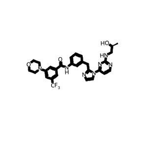 C[C@H](O)CNc1nccc(-n2ccnc2Cc2cccc(NC(=O)c3cc(N4CCOCC4)cc(C(F)(F)F)c3)c2)n1